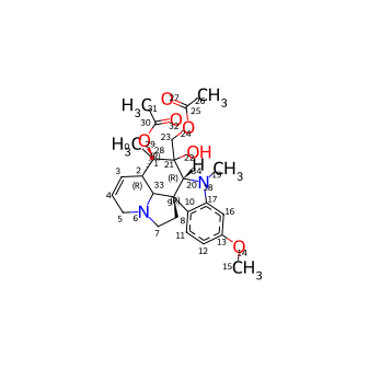 CC[C@]12C=CCN3CC[C@@]4(c5ccc(OC)cc5N(C)[C@H]4C(O)(COC(C)=O)[C@@H]1OC(C)=O)C32